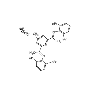 CCCc1cccc(CCC)c1N=C(C)c1cc(C)cc(C(C)=Nc2c(CCC)cccc2CCC)n1.[Cl-].[Cl-].[Cl-].[Nd+3]